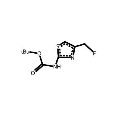 CC(C)(C)OC(=O)Nc1nc(CF)cs1